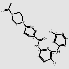 CC(=O)N1CCN(c2ccc(C(=O)Nc3ccc(Cl)c(Nc4cccc(Cl)c4)c3)cn2)CC1